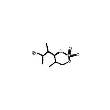 CCC(C)C(C)C(C)C1OS(=O)(=O)OCC1C